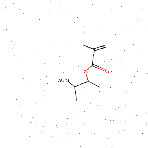 C=C(C)C(=O)OC(C)C(C)NC